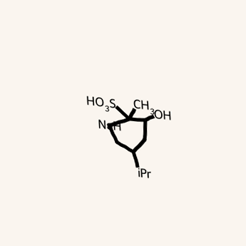 CC(C)C1CCC(C)(S(=O)(=O)O)C(O)C1.[NaH]